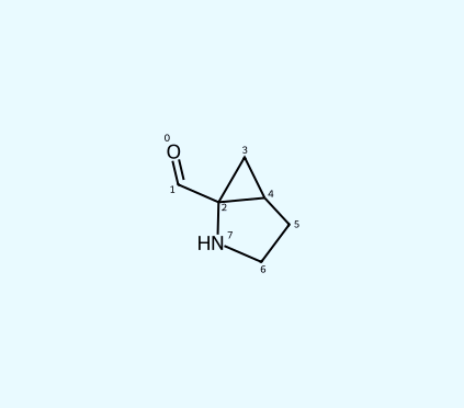 O=CC12CC1CCN2